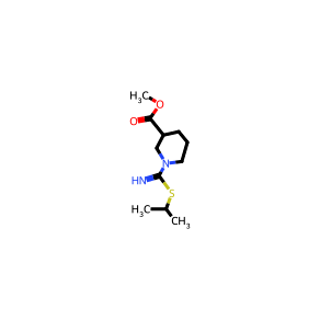 COC(=O)C1CCCN(C(=N)SC(C)C)C1